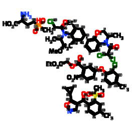 CC1COc2ccccc2N1C(=O)C(Cl)Cl.CCOC(=O)COC(=O)c1cc(Oc2ccc(C(F)(F)F)cc2Cl)ccc1[N+](=O)[O-].CCc1cccc(C)c1N(C(=O)CCl)C(C)COC.CP(=O)(O)CCC(N)C(=O)O.CS(=O)(=O)c1cc(C(F)(F)F)ccc1C(=O)c1cnoc1C1CC1